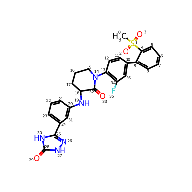 CS(=O)(=O)c1ccccc1-c1ccc(N2CCCC(Nc3cccc(-c4n[nH]c(=O)[nH]4)c3)C2=O)c(F)c1